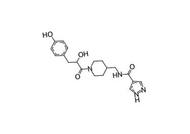 O=C(NCC1CCN(C(=O)C(O)Cc2ccc(O)cc2)CC1)c1cn[nH]c1